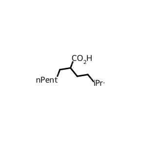 CCCCCCC(CC[C](C)C)C(=O)O